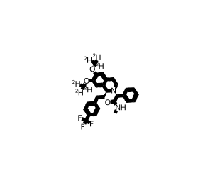 [2H]C([2H])([2H])Oc1cc2c(cc1OC([2H])([2H])[2H])[C@H](CCc1ccc(C(F)(F)F)cc1)N([C@@H](C(=O)NC)c1ccccc1)CC2